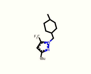 CC1CCC(Cn2nc(C(C)(C)C)cc2C(F)(F)F)CC1